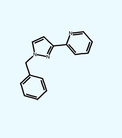 [c]1ccc(Cn2ccc(-c3ccccn3)n2)cc1